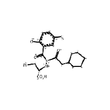 CC(C)C[C@H](NN(C(=O)CC1CCCCC1)C(=O)c1cc(Cl)ccc1Cl)C(=O)O